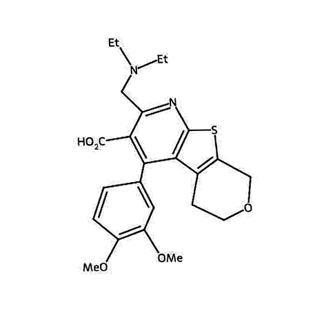 CCN(CC)Cc1nc2sc3c(c2c(-c2ccc(OC)c(OC)c2)c1C(=O)O)CCOC3